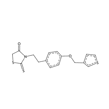 O=C1CSC(=S)N1CCc1ccc(OCc2ccsc2)cc1